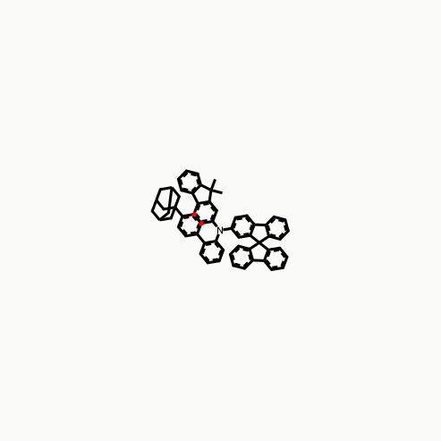 CC1(C)c2ccccc2-c2ccc(N(c3ccc4c(c3)C3(c5ccccc5-c5ccccc53)c3ccccc3-4)c3ccccc3-c3ccc(C45CC6CC(CC(C6)C4)C5)cc3)cc21